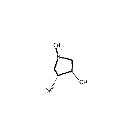 CN1C[C@@H](C#N)[C@@H](O)C1